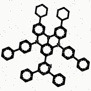 c1ccc(-c2ccc(N3c4ccc(C5CCCCC5)cc4B4c5cc(C6CCCCC6)ccc5N(c5ccc(-c6ccccc6)cc5)c5cc(-c6cc(-c7ccccc7)cc(-c7ccccc7)n6)cc3c54)cc2)cc1